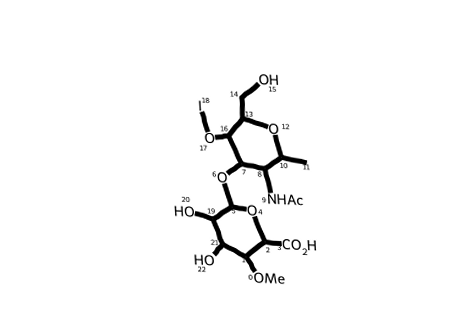 COC1C(C(=O)O)OC(OC2C(NC(C)=O)C(C)OC(CO)C2OI)C(O)C1O